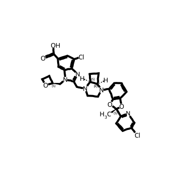 C[C@]1(c2ccc(Cl)cn2)Oc2cccc(N3CCN(Cc4nc5c(Cl)cc(C(=O)O)cc5n4C[C@@H]4CCO4)[C@H]4CC[C@H]43)c2O1